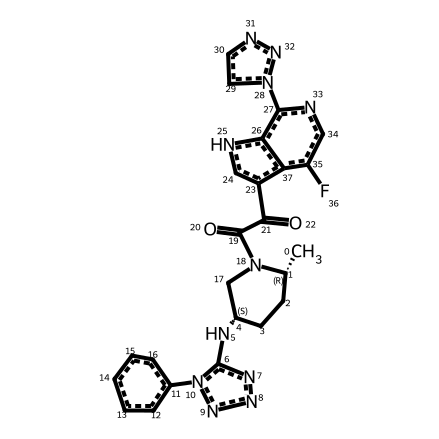 C[C@@H]1CC[C@H](Nc2nnnn2-c2ccccc2)CN1C(=O)C(=O)c1c[nH]c2c(-n3ccnn3)ncc(F)c12